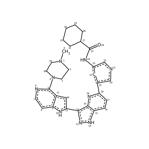 CN1CCN(c2nccc3[nH]c(-c4n[nH]c5ccc(-c6cncc(NC(=O)C7CCCCC7)c6)nc45)cc23)CC1